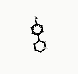 Sc1ccc(C2CCCNC2)cc1